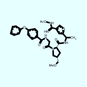 COC[C@H]1C[C@@H](C(=O)NC(C)c2cc(C(=N)NOC(C)=O)cs2)N(C(=O)CNC(=O)c2ccc(Oc3ccccc3)cc2)C1